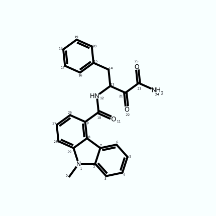 Cn1c2ccccc2c2c(C(=O)NC(Cc3ccccc3)C(=O)C(N)=O)cccc21